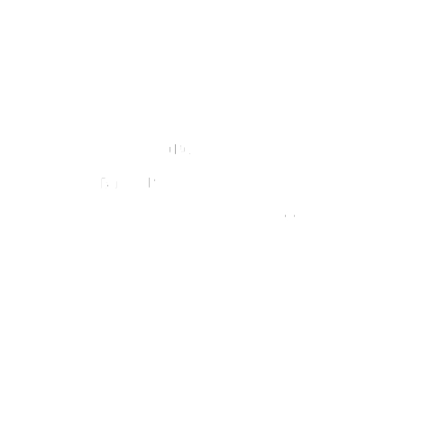 CC(C)(C)P(C=CCc1ccco1)C(C)(C)C